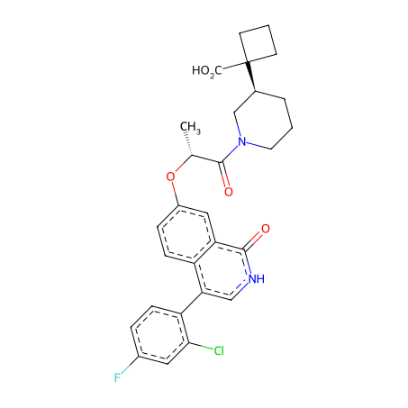 C[C@@H](Oc1ccc2c(-c3ccc(F)cc3Cl)c[nH]c(=O)c2c1)C(=O)N1CCC[C@H](C2(C(=O)O)CCC2)C1